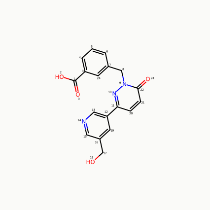 O=C(O)c1cccc(Cn2nc(-c3cncc(CO)c3)ccc2=O)c1